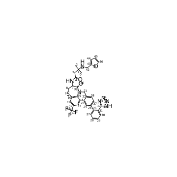 CC(C)(CC(=O)N[C@@H]1CSc2cc(C(F)(F)F)ccc2N(Cc2ccc(-c3ccccc3-c3nnn[nH]3)cc2)C1=O)NCc1ccco1